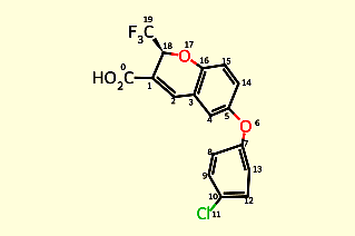 O=C(O)C1=Cc2cc(Oc3ccc(Cl)cc3)ccc2O[C@@H]1C(F)(F)F